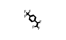 FC(F)=C(F)c1ccc(C(F)(F)F)cc1